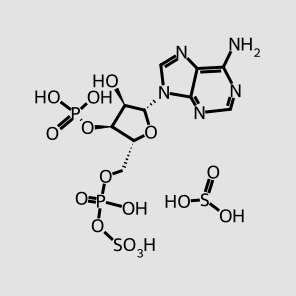 Nc1ncnc2c1ncn2[C@@H]1O[C@H](COP(=O)(O)OS(=O)(=O)O)[C@@H](OP(=O)(O)O)[C@H]1O.O=S(O)O